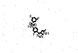 Cc1cc2c(-c3ccc(NS(=O)(=O)c4cc(F)cc(F)c4)cc3F)ncnc2[nH]1